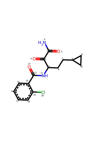 NC(=O)C(=O)C(CCC1CC1)NC(=O)c1ccccc1Cl